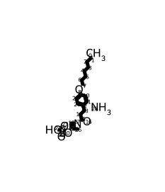 CCCCCCCCOc1ccc(CCC(=O)N2CC(OP(=O)(O)O)C2)cc1.N